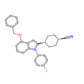 N#C[C@H]1CC[C@@H](c2cc3c(OCc4ccccc4)cccc3n2-c2ccc(F)cc2)CC1